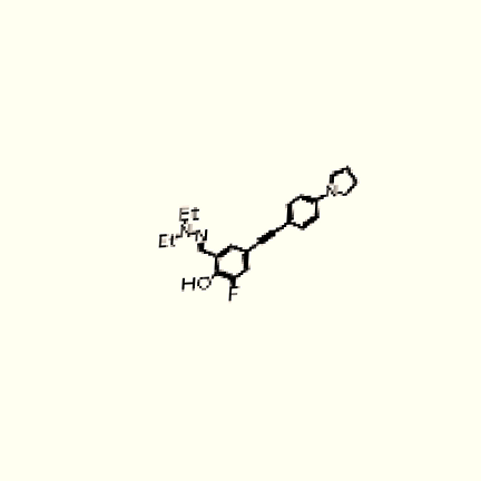 CCN(CC)N=Cc1cc(C#Cc2ccc(N3CCCC3)cc2)cc(F)c1O